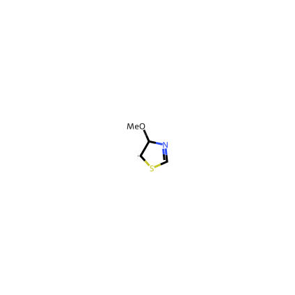 COC1[CH]SC=N1